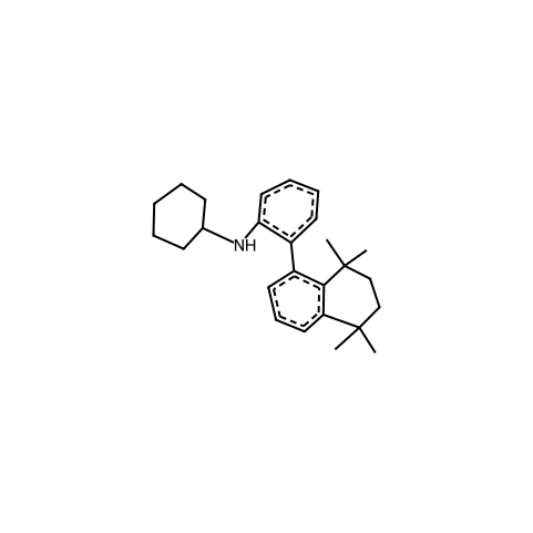 CC1(C)CCC(C)(C)c2c(-c3ccccc3NC3CCCCC3)cccc21